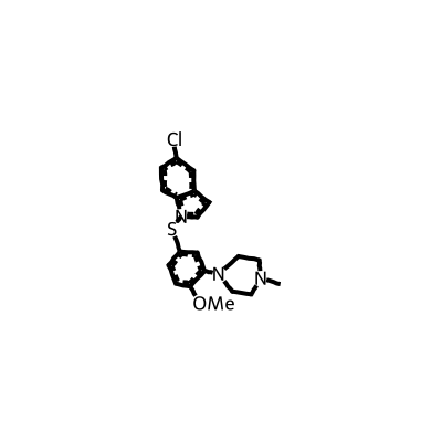 COc1ccc(Sn2ccc3cc(Cl)ccc32)cc1N1CCN(C)CC1